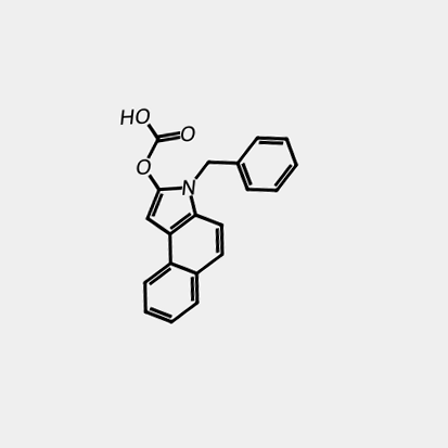 O=C(O)Oc1cc2c3ccccc3ccc2n1Cc1ccccc1